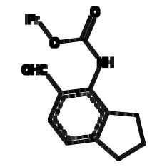 CC(C)OC(=O)Nc1c(C=O)ccc2c1CCC2